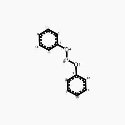 c1ccc(O[P]Oc2ccccc2)cc1